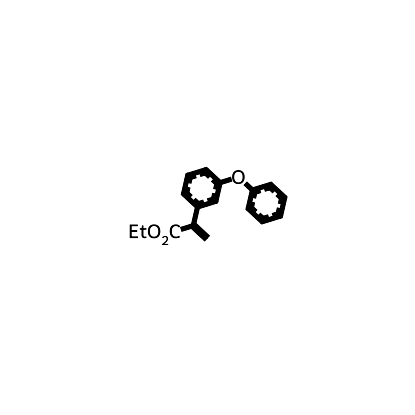 C=C(C(=O)OCC)c1cccc(Oc2ccccc2)c1